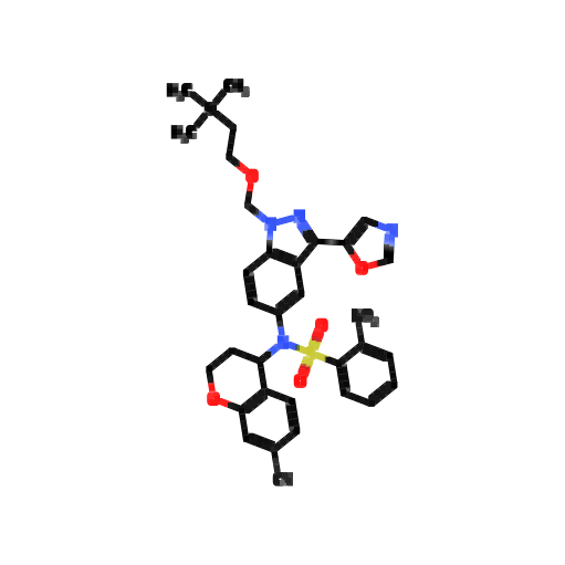 C[Si](C)(C)CCOCn1nc(-c2cnco2)c2cc(N(C3CCOc4cc(C#N)ccc43)S(=O)(=O)c3ccccc3[N+](=O)[O-])ccc21